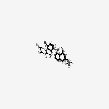 CC(NC(=O)[C@@H](C)Oc1cc(F)ccc1Nc1ncnc2cc(N=S(C)(C)=O)cc(F)c12)C(F)F